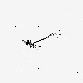 CCNC(=O)CC[C@H](NC(=O)CCCCCCCCCCCCCCC(=O)O)C(=O)O